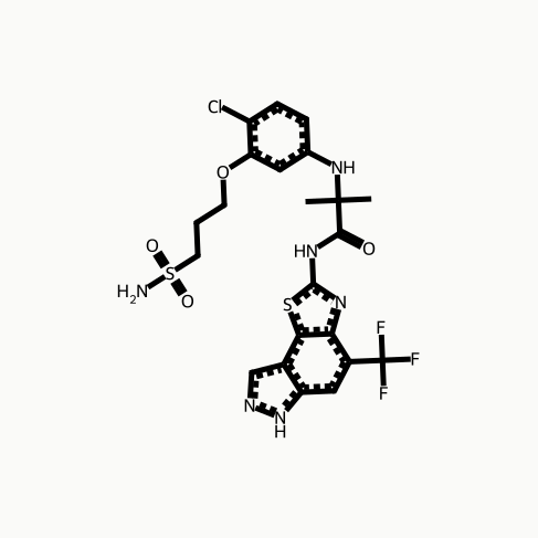 CC(C)(Nc1ccc(Cl)c(OCCCS(N)(=O)=O)c1)C(=O)Nc1nc2c(C(F)(F)F)cc3[nH]ncc3c2s1